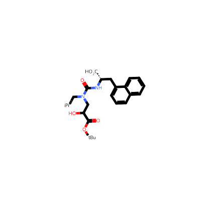 CC(C)CN(CC(O)C(=O)OC(C)(C)C)C(=O)N[C@@H](Cc1cccc2ccccc12)C(=O)O